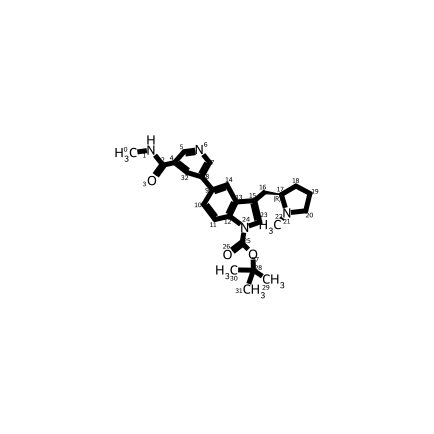 CNC(=O)c1cncc(-c2ccc3c(c2)c(C[C@H]2CCCN2C)cn3C(=O)OC(C)(C)C)c1